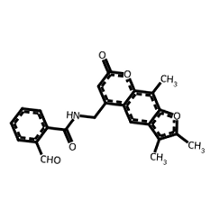 Cc1oc2c(C)c3oc(=O)cc(CNC(=O)c4ccccc4C=O)c3cc2c1C